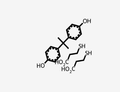 CC(C)(c1ccc(O)cc1)c1ccc(O)cc1.O=C(O)CCS.O=C(O)CCS